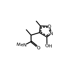 CNC(=O)C(C)c1c(O)noc1C